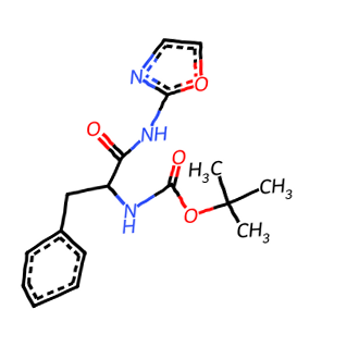 CC(C)(C)OC(=O)NC(Cc1ccccc1)C(=O)Nc1ncco1